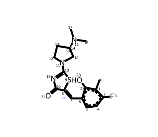 Cc1c(F)ccc(/C=C2\SC(N3CC[C@@H](N(C)C)C3)=NC2=O)c1O